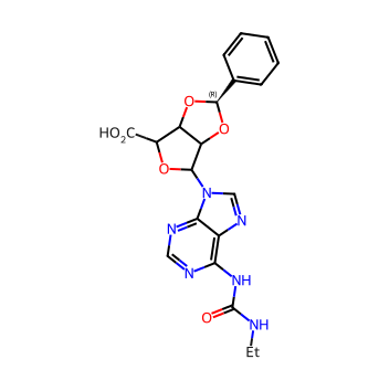 CCNC(=O)Nc1ncnc2c1ncn2C1OC(C(=O)O)C2O[C@@H](c3ccccc3)OC21